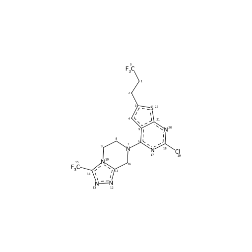 FC(F)(F)CCc1cc2c(N3CCn4c(nnc4C(F)(F)F)C3)nc(Cl)nc2s1